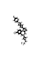 Fc1cnc(N2CC3(CC(c4nnc5n4-c4ccc(Cl)cc4CN(C4CN(CC(F)(F)F)C4)C5)C3)C2)nc1